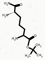 CC(C)(C)OC(=O)C(N)CCC[C@H](N)C(N)=O